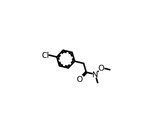 CON(C)C(=O)Cc1ccc(Cl)cc1